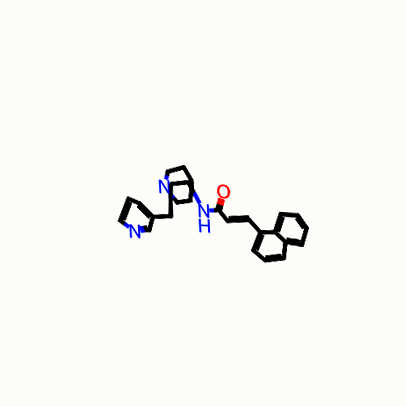 O=C(C=Cc1cccc2ccccc12)NC1C2CCN(CC2)C1Cc1cccnc1